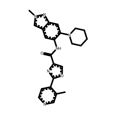 Cc1cnccc1-c1nc(C(=O)Nc2cc3cn(C)nc3cc2N2CCCCC2)co1